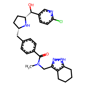 CN(Cc1n[nH]c2c1CCCC2)C(=O)c1ccc(C[C@@H]2CC[C@H](C(O)c3ccc(Cl)nc3)N2)cc1